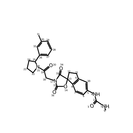 CNC(=O)Nc1ccc2c(c1)CCC21OC(=O)N(CC(=O)N2CCCC2c2cccc(C)c2)C1=O